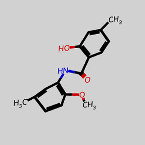 COc1ccc(C)cc1NC(=O)c1ccc(C)cc1O